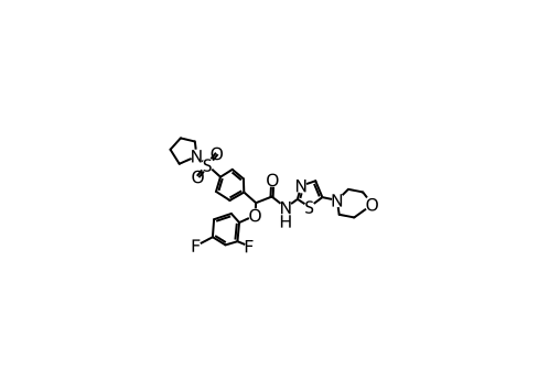 O=C(Nc1ncc(N2CCOCC2)s1)C(Oc1ccc(F)cc1F)c1ccc(S(=O)(=O)N2CCCC2)cc1